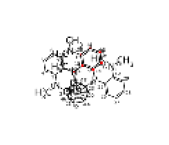 CN(C)c1ccccc1P(c1ccccc1N(C)C)[C]12[CH]3[CH]4[CH]5[C]1(P(c1ccccc1N(C)C)c1ccccc1N(C)C)[Fe]43521678[CH]2[CH]1[CH]6[CH]7[CH]28